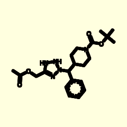 CC(=O)OCC1=NN(C(c2ccccc2)C2CCN(C(=O)OC(C)(C)C)CC2)NN1